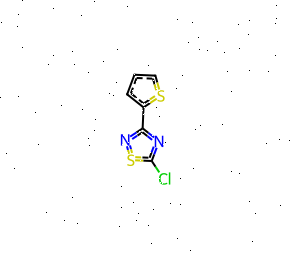 Clc1nc(-c2cccs2)ns1